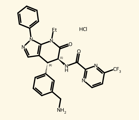 CCN1C(=O)[C@@H](NC(=O)c2nccc(C(F)(F)F)n2)[C@H](c2cccc(CN)c2)c2cnn(-c3ccccc3)c21.Cl